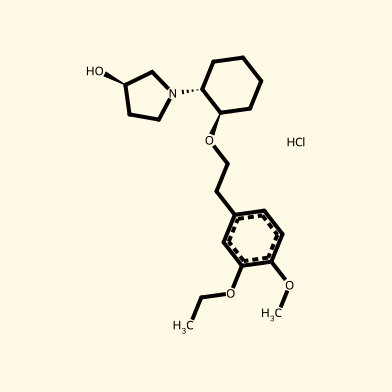 CCOc1cc(CCO[C@@H]2CCCC[C@H]2N2CC[C@@H](O)C2)ccc1OC.Cl